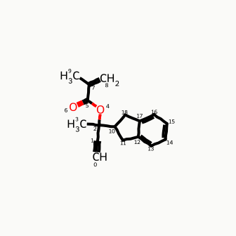 C#CC(C)(OC(=O)C(=C)C)C1Cc2ccccc2C1